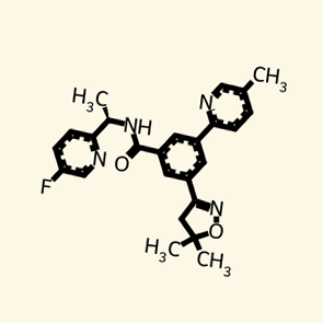 Cc1ccc(-c2cc(C(=O)N[C@H](C)c3ccc(F)cn3)cc(C3=NOC(C)(C)C3)c2)nc1